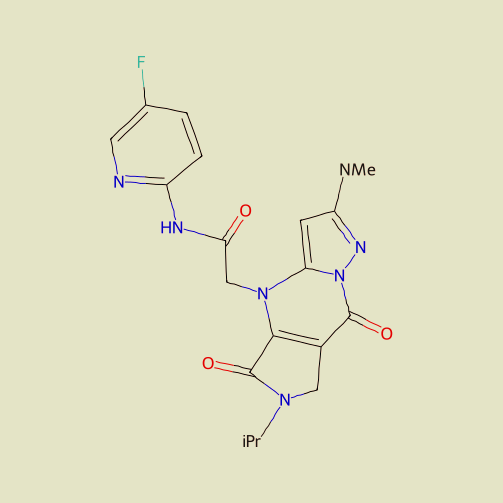 CNc1cc2n(CC(=O)Nc3ccc(F)cn3)c3c(c(=O)n2n1)CN(C(C)C)C3=O